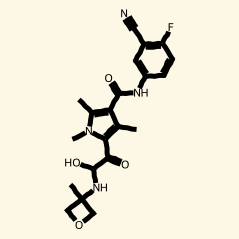 Cc1c(C(=O)Nc2ccc(F)c(C#N)c2)c(C)n(C)c1C(=O)C(O)NC1(C)COC1